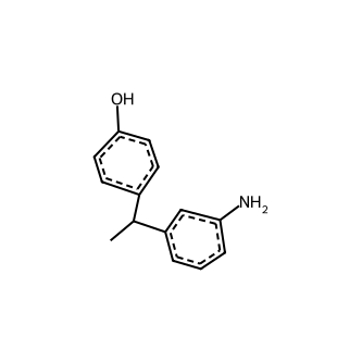 CC(c1ccc(O)cc1)c1cccc(N)c1